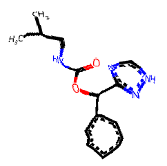 CC(C)CNC(=O)OC(c1ccccc1)c1nc[nH]n1